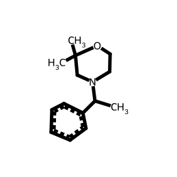 CC(c1ccccc1)N1CCOC(C)(C)C1